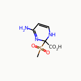 CS(=O)(=O)C1(C(=O)O)N=C(N)C=CN1